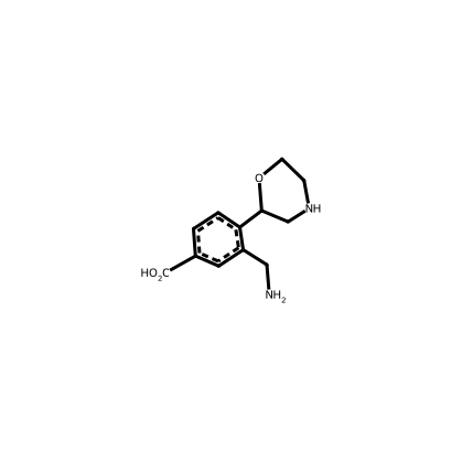 NCc1cc(C(=O)O)ccc1C1CNCCO1